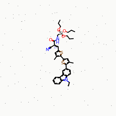 CCCO[Si](CNC(=O)/C(C#N)=C/c1cc(C)c(-c2cc(C)c(-c3ccc4c(c3)c3ccccc3n4CC)s2)s1)(OCCC)OCCC